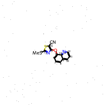 CSc1nc(Oc2cccc3cccnc23)c(C#N)s1